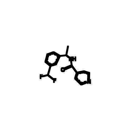 CC(NC(=O)c1ccncc1)c1cccc(C(F)F)c1